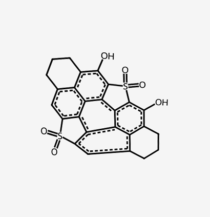 O=S1(=O)c2cc3c4c(c(O)c5c6c7c(c(O)c8c9c(cc1c(c2c46)c97)CCC8)S5(=O)=O)CCC3